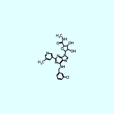 CNC(=O)C1OC(n2cnc3c(NCc4cccc(Cl)c4)nc(-c4cncc(C)c4)nc32)C(O)C1O